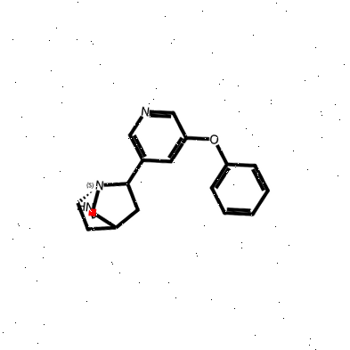 c1ccc(Oc2cncc(C3CC4CC[N@@]3C43CCNC3)c2)cc1